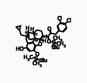 CC(C)(C)[Si](C)(C)Oc1cc(O)c2c3c1O[C@H]1[C@H](N(O[Si](C)(C)C(C)(C)C)C(=O)Cc4ccc(Cl)c(Cl)c4)CC[C@H]4[C@@H](C2)N(CC2CC2)CC[C@@]341